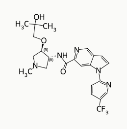 CN1C[C@@H](NC(=O)c2cc3c(ccn3-c3ccc(C(F)(F)F)cn3)cn2)[C@H](OCC(C)(C)O)C1